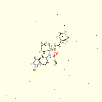 C#CC(=O)N(c1ccc2c(c1)ncn2C)C1(C(=O)NCc2ccccc2)CCOCC1